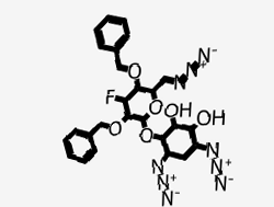 [N-]=[N+]=NCC1OC(OC2C(N=[N+]=[N-])CC(N=[N+]=[N-])C(O)C2O)C(OCc2ccccc2)C(F)C1OCc1ccccc1